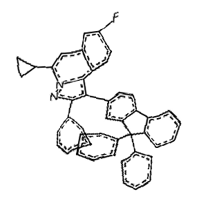 Fc1ccc2c(c1)cc(C1CC1)n1nc(-c3ccccc3)c(-c3ccc4c(c3)C(c3ccccc3)(c3ccccc3)c3ccccc3-4)c21